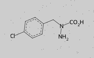 NN(Cc1ccc(Cl)cc1)C(=O)O